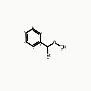 CCC(OC#N)c1ccccc1